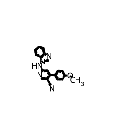 COc1ccc(-c2cc(Nn3cnc4ccccc43)ncc2C#N)cc1